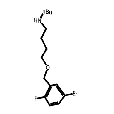 CCCCNCCCCOCc1cc(Br)ccc1F